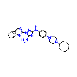 Nc1nc(Nc2ccc(N3CCN(C4CCCCCCC4)CC3)cc2)nn1-c1ncc2c(n1)C1CCC2C1